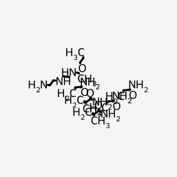 C=C(C)C(N)=O.C=C(C)C(N)=O.C=CC(N)=O.C=CC(N)=O.C=CC(N)=O.CCCOC(C)NCCNCCN